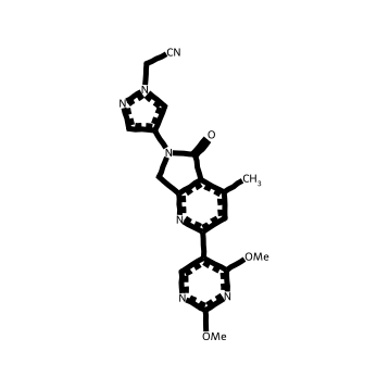 COc1ncc(-c2cc(C)c3c(n2)CN(c2cnn(CC#N)c2)C3=O)c(OC)n1